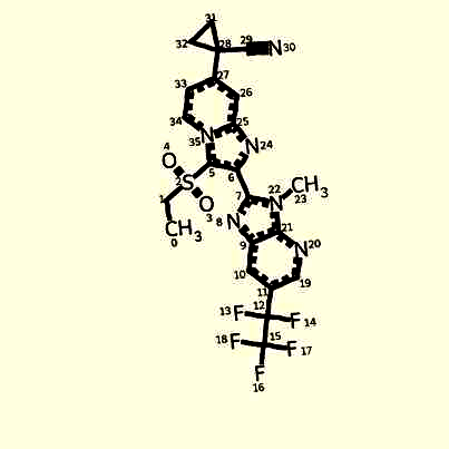 CCS(=O)(=O)c1c(-c2nc3cc(C(F)(F)C(F)(F)F)cnc3n2C)nc2cc(C3(C#N)CC3)ccn12